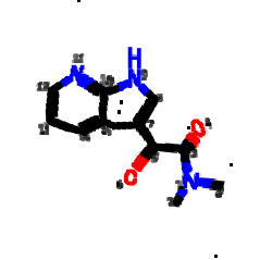 CN(C)C(=O)C(=O)c1c[nH]c2ncccc12